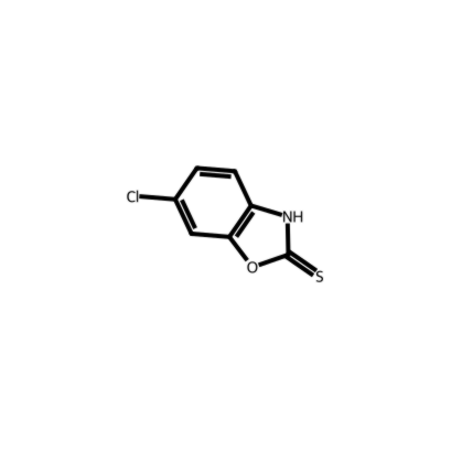 S=c1[nH]c2ccc(Cl)cc2o1